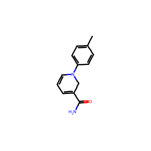 Cc1ccc(N2C=CC=C(C(N)=O)C2)cc1